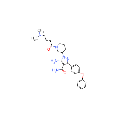 CN(C)CC=CC(=O)N1CCCC(n2nc(-c3ccc(Oc4ccccc4)cc3)c(C(N)=O)c2N)C1